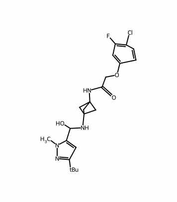 Cn1nc(C(C)(C)C)cc1C(O)NC12CC(NC(=O)COc3ccc(Cl)c(F)c3)(C1)C2